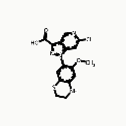 COc1cc2c(cc1-n1nc(C(=O)O)c3cnc(Cl)cc31)SCCN2